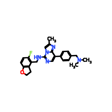 Cc1cn2c(NCc3c(F)ccc4c3CCO4)ncc(-c3ccc(CN(C)C)cc3)c2n1